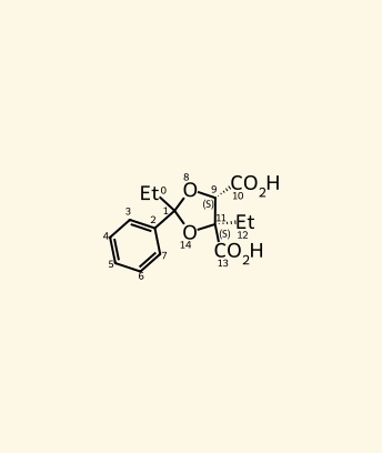 CCC1(c2ccccc2)O[C@H](C(=O)O)[C@@](CC)(C(=O)O)O1